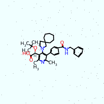 Cc1nc(C)c([C@H](OC(C)(C)C)C(=O)O)c(N2CCC3(CCCCCC3)C2)c1-c1ccc(C(=O)NCc2ccccc2)cc1